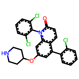 O=c1ccc2c(-c3ccccc3Cl)cc(OC3CCNCC3)cc2n1-c1c(Cl)cccc1Cl